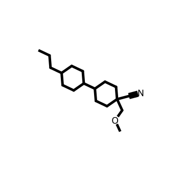 CCCC1CCC(C2CCC(C#N)(COC)CC2)CC1